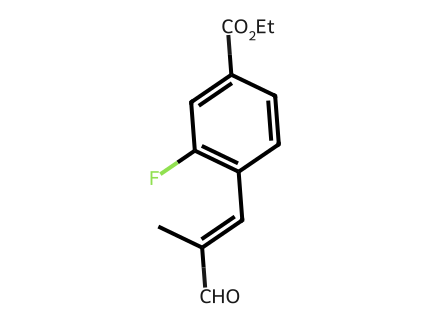 CCOC(=O)c1ccc(C=C(C)C=O)c(F)c1